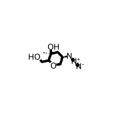 C[C@]1(O)C[C@@H](N=[N+]=[N-])COC1CO